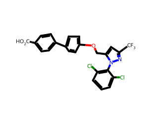 O=C(O)c1ccc(-c2ccc(OCc3cc(C(F)(F)F)nn3-c3c(Cl)cccc3Cl)cc2)cc1